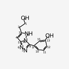 OCCc1cc2nnc(-c3cccc(O)c3)n2[nH]1